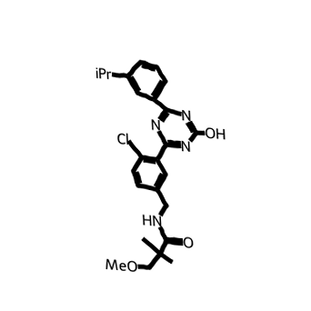 COCC(C)(C)C(=O)NCc1ccc(Cl)c(-c2nc(O)nc(-c3cccc(C(C)C)c3)n2)c1